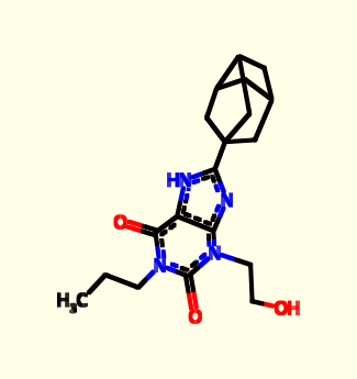 CCCn1c(=O)c2[nH]c(C34CC5CC(C3)C(C5)C4)nc2n(CCO)c1=O